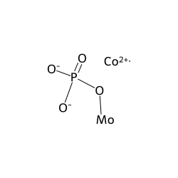 O=P([O-])([O-])[O][Mo].[Co+2]